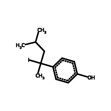 CC(C)CC(C)(I)c1ccc(O)cc1